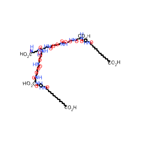 O=C(O)CCCCCCCCCCCCCCCCCCC(=O)NC[C@H]1CC[C@H](C(=O)N[C@@H](CCC(=O)NCCOCCOCC(=O)NCCOCCOCC(=O)NCCCC[C@H](NC(=O)COCCOCCNC(=O)COCCOCCNC(=O)CC[C@H](NC(=O)[C@H]2CC[C@H](CNC(=O)CCCCCCCCCCCCCCCCCCC(=O)O)CC2)C(=O)O)C(=O)NCCCC[C@H](NI)C(=O)O)C(=O)O)CC1